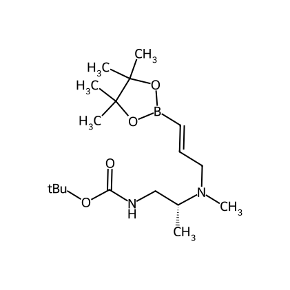 C[C@H](CNC(=O)OC(C)(C)C)N(C)C/C=C/B1OC(C)(C)C(C)(C)O1